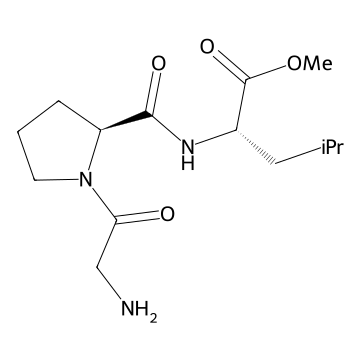 COC(=O)[C@H](CC(C)C)NC(=O)[C@@H]1CCCN1C(=O)CN